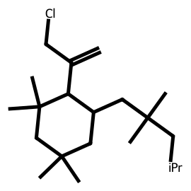 C=C(CCl)C1C(CC(C)(C)CC(C)C)CC(C)(C)CC1(C)C